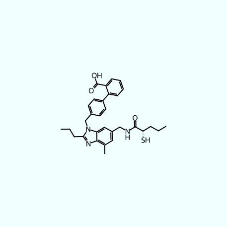 CCCc1nc2c(C)cc(CNC(=O)[C@@H](S)CCC)cc2n1Cc1ccc(-c2ccccc2C(=O)O)cc1